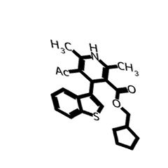 CC(=O)C1=C(C)NC(C)=C(C(=O)OCC2CCCC2)C1c1csc2ccccc12